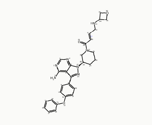 Nc1ncnc2c1c(-c1ccc(Oc3ccccc3)cc1)nn2[C@@H]1CCCN(C(=O)/C=C/CNC2COC2)C1